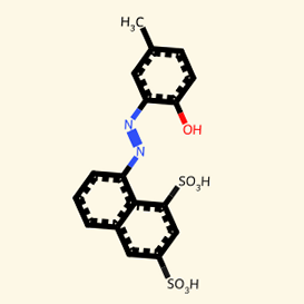 Cc1ccc(O)c(N=Nc2cccc3cc(S(=O)(=O)O)cc(S(=O)(=O)O)c23)c1